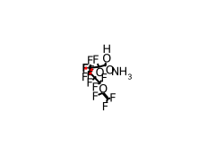 N.O=C(O)C(F)(OC(F)(C(F)(F)F)C(F)(F)OC(F)=C(F)F)C(F)(F)F